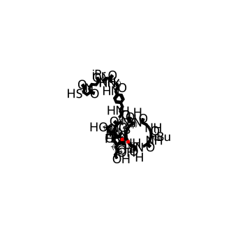 CC[C@H](C)C1NC(=O)CNC(=O)[C@@H]2Cc3c([nH]c4ccccc34)[S+]([O-])C[C@H](NC(=O)CNC1=O)C(=O)N[C@@H](CC(=O)NCc1ccc(NC(=O)[C@H](C)NC(=O)[C@@H](NC(=O)CCN3C(=O)CC(S)C3=O)C(C)C)cc1)C(=O)N1C[C@H](O)C[C@H]1C(=O)N[C@@H]([C@@H](C)[C@@H](O)CO)C(=O)N2